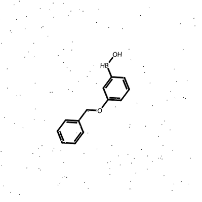 OBc1cccc(OCc2ccccc2)c1